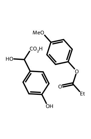 CCC(=O)Oc1ccc(OC)cc1.O=C(O)C(O)c1ccc(O)cc1